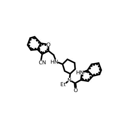 CCN(C(=O)c1cc2ccccc2[nH]1)C1CCCC(NCc2oc3ccccc3c2C#N)C1